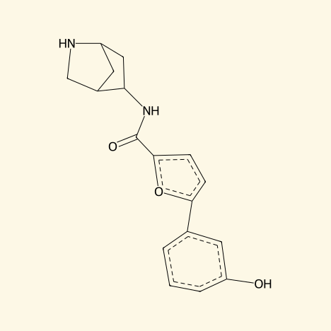 O=C(NC1CC2CC1CN2)c1ccc(-c2cccc(O)c2)o1